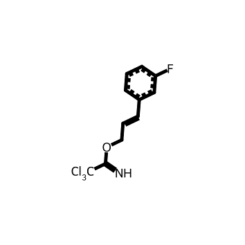 N=C(OCC=Cc1cccc(F)c1)C(Cl)(Cl)Cl